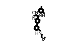 Cc1ccc(Nc2c(C#N)cnc3cc(-c4cccc(CNCCN(C)C)c4)ccc23)c(C)c1